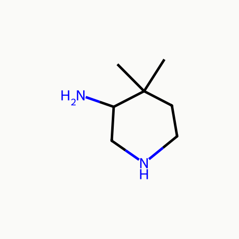 CC1(C)CCNCC1N